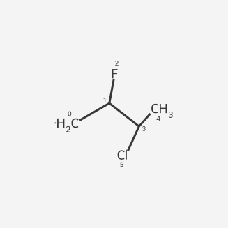 [CH2]C(F)C(C)Cl